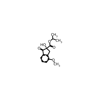 COc1cccc2c1C[C@@](O)(C(=O)OC(C)C)C2=O